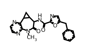 CN1C(=O)C(NC(=O)c2ncc(Cc3ccccc3)o2)C2CC2c2nccnc21